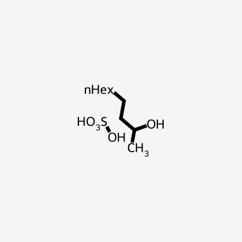 CCCCCCCCC(C)O.O=S(=O)(O)O